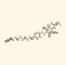 COC(=O)C(CCc1ccc(OCCOCCOCCN=[N+]=[N-])cc1)C(=O)c1ccc(C(F)(F)F)cc1